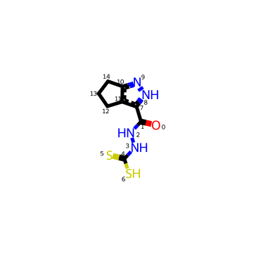 O=C(NNC(=S)S)c1[nH]nc2c1CCC2